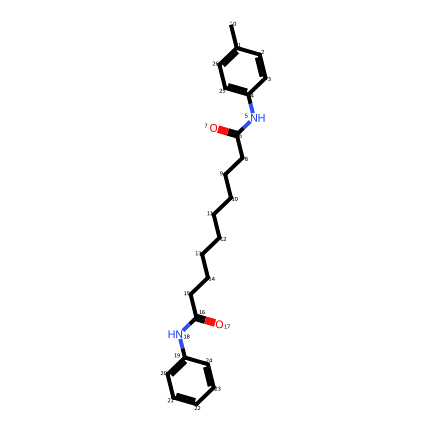 [CH2]c1ccc(NC(=O)CCCCCCCCC(=O)Nc2ccccc2)cc1